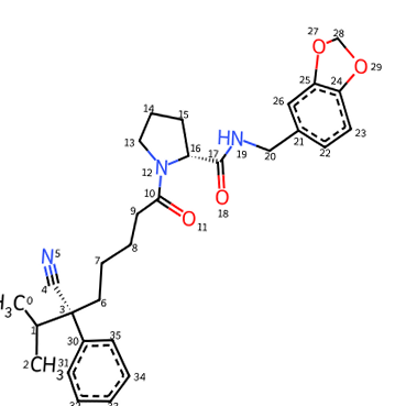 CC(C)[C@@](C#N)(CCCCC(=O)N1CCC[C@@H]1C(=O)NCc1ccc2c(c1)OCO2)c1ccccc1